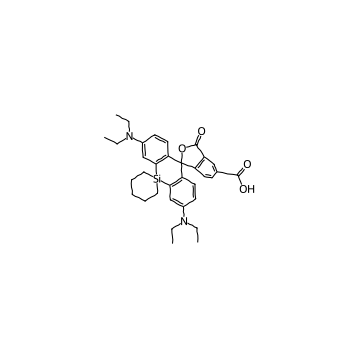 CCN(CC)c1ccc2c(c1)[Si]1(CCCCC1)c1cc(N(CC)CC)ccc1C21OC(=O)c2cc(C(=O)O)ccc21